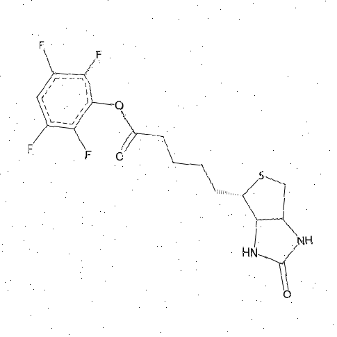 O=C1NC2CS[C@@H](CCCCC(=O)Oc3c(F)c(F)cc(F)c3F)C2N1